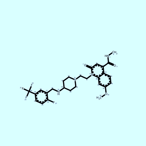 CNC(=O)c1cc(=O)n(CCN2CCC(NCc3cc(C(F)(F)F)ccc3F)CC2)c2cc(OC)ccc12